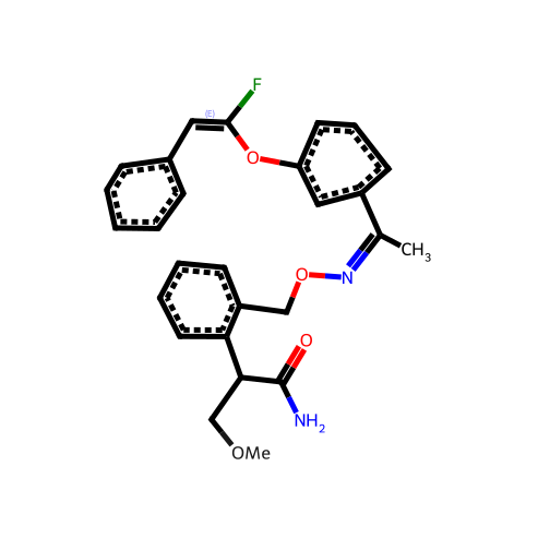 COCC(C(N)=O)c1ccccc1CON=C(C)c1cccc(O/C(F)=C\c2ccccc2)c1